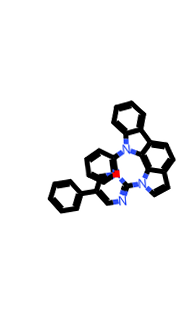 c1ccc(-c2cnc(-n3ccc4ccc5c6ccccc6n(-c6ccccc6)c5c43)nc2)cc1